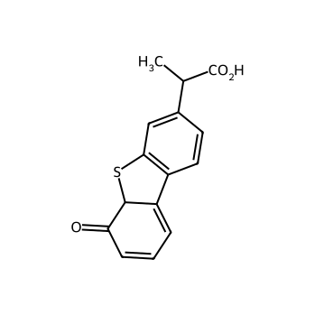 CC(C(=O)O)c1ccc2c(c1)SC1C(=O)C=CC=C21